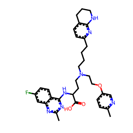 Cc1ccc(OCCN(CCCCc2ccc3c(n2)NCCC3)CCC(Nc2nc(C)nc3cc(F)ccc23)C(=O)O)cn1